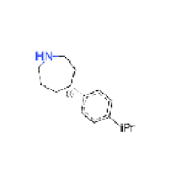 CC(C)c1ccc([C@@H]2CCCNCC2)cc1